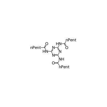 CCCCCC(=O)Nc1nc(NC(=O)CCCCC)nc(NC(=O)CCCCC)n1